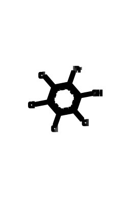 CC(C)c1c(O)c(Cl)c(Cl)c(Cl)c1Cl